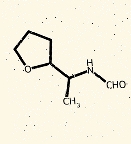 CC(N[C]=O)C1CCCO1